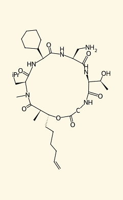 C=CCCCC[C@H]1OC(=O)CNC(=O)[C@H]([C@H](C)O)NC(=O)[C@H](CN)NC(=O)[C@H](C2CCCCC2)NC(=O)[C@H](CC(C)C)N(C)C(=O)[C@@H]1C